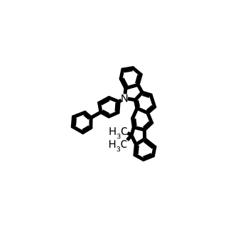 CC1(C)c2ccccc2-c2cc3ccc4c5ccccc5n(-c5ccc(-c6ccccc6)cc5)c4c3cc21